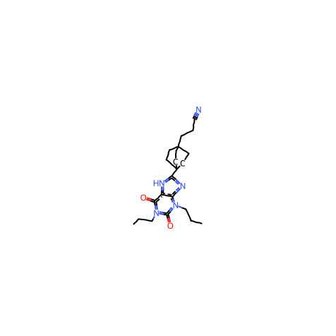 CCCn1c(=O)c2[nH]c(C34CCC(CCC#N)(CC3)CC4)nc2n(CCC)c1=O